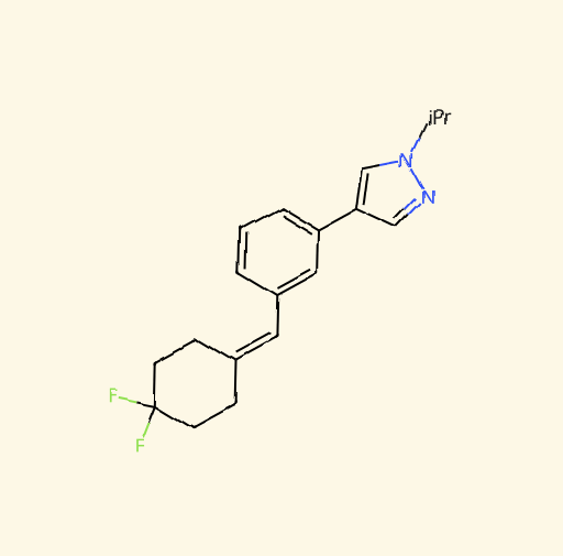 CC(C)n1cc(-c2cccc(C=C3CCC(F)(F)CC3)c2)cn1